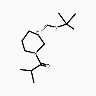 CC(C)C(=O)N1CCC[C@H](CNC(C)(C)C)C1